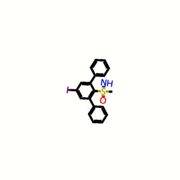 CS(=N)(=O)c1c(-c2ccccc2)cc(I)cc1-c1ccccc1